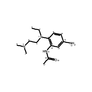 CCN(CCN(C)C)c1ccc(N)cc1NC(C)=O